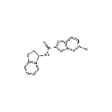 O=C(NC1CCc2ccccc21)c1cc2cc(Cl)ccc2o1